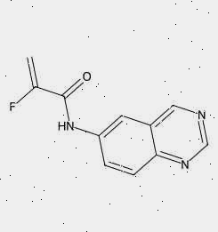 C=C(F)C(=O)Nc1ccc2ncncc2c1